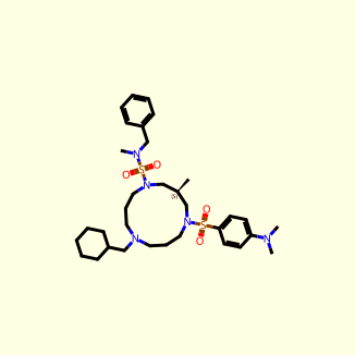 C[C@H]1CN(S(=O)(=O)c2ccc(N(C)C)cc2)CCCN(CC2CCCCC2)CCCN(S(=O)(=O)N(C)Cc2ccccc2)C1